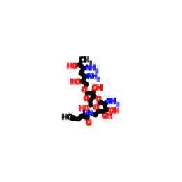 C#CCCC(=O)NCC1OC(OC2C(CO)OC(OC[C@H](O)C(N)CC(N)[C@H](C)O)C2O)C(N)C(O)C1O